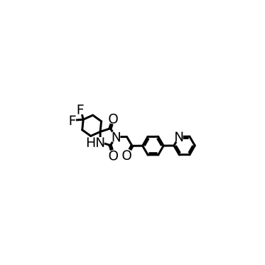 O=C(CN1C(=O)NC2(CCC(F)(F)CC2)C1=O)c1ccc(-c2ccccn2)cc1